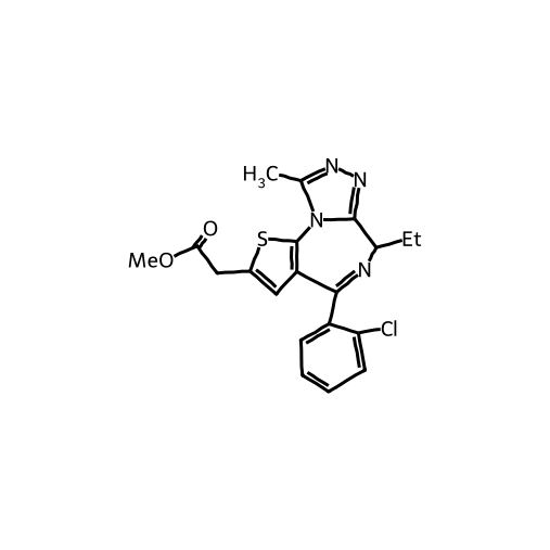 CCC1N=C(c2ccccc2Cl)c2cc(CC(=O)OC)sc2-n2c(C)nnc21